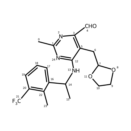 Cc1nc(C=O)c(CC2OCCO2)c(NC(C)c2cccc(C(F)(F)F)c2C)n1